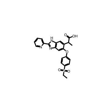 CCS(=O)(=O)c1ccc(Oc2cc3nc(-c4ccccn4)[nH]c3cc2C(C)C(=O)O)cc1